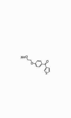 COCCOc1ccc(C(=O)c2ccsc2)cc1